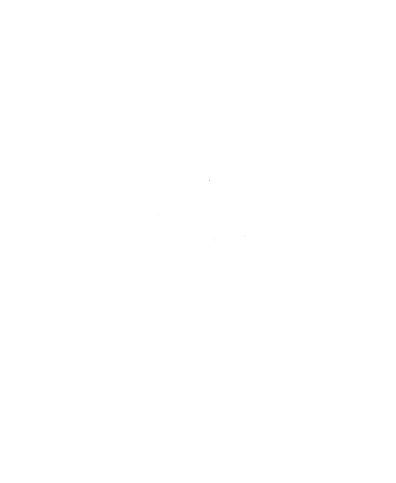 C=C1CCCC(C)(C)C1C(=O)C=CC